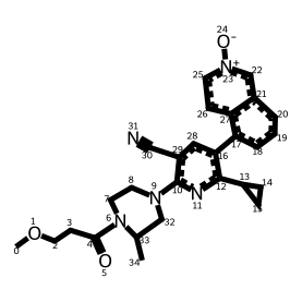 COCCC(=O)N1CCN(c2nc(C3CC3)c(-c3cccc4c[n+]([O-])ccc34)cc2C#N)CC1C